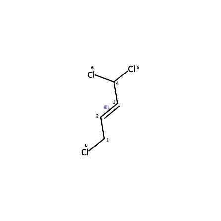 ClC/C=C/C(Cl)Cl